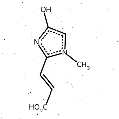 Cn1cc(O)nc1/C=C/C(=O)O